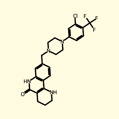 O=c1[nH]c2cc(CN3CCN(c4ccc(C(F)(F)F)c(Cl)c4)CC3)ccc2c2c1CCCN2